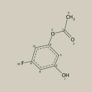 CC(=O)Oc1cc(O)cc(F)c1